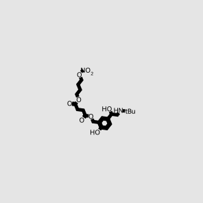 CC(C)(C)NCC(O)c1ccc(O)c(COC(=O)CCC(=O)OCCCCO[N+](=O)[O-])c1